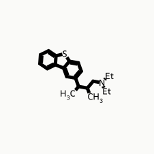 CCN(CC)CC(C)C(C)c1ccc2sc3ccccc3c2c1